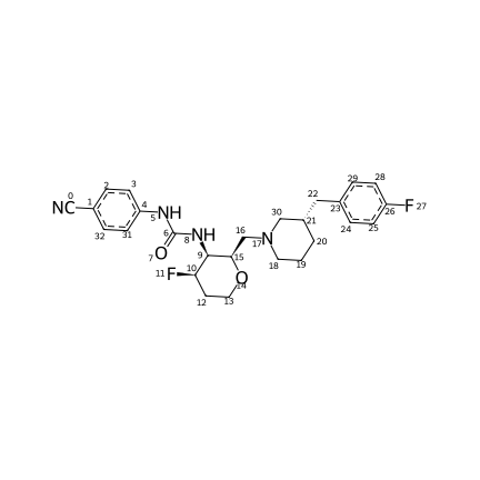 N#Cc1ccc(NC(=O)N[C@@H]2[C@H](F)CCO[C@@H]2CN2CCC[C@@H](Cc3ccc(F)cc3)C2)cc1